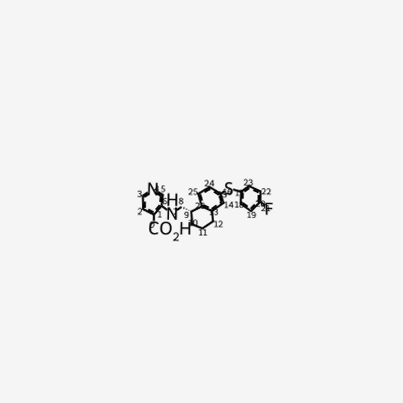 O=C(O)c1ccncc1NC[C@H]1CCCc2cc(Sc3ccc(F)cc3)ccc21